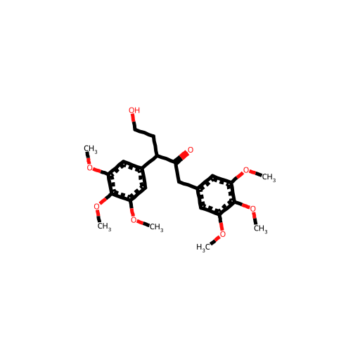 COc1cc(CC(=O)C(CCO)c2cc(OC)c(OC)c(OC)c2)cc(OC)c1OC